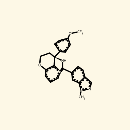 Cn1ncc2ccc(C(=O)N[C@]3(c4ccc(OC(F)(F)F)cc4)CCOc4cccnc43)cc21